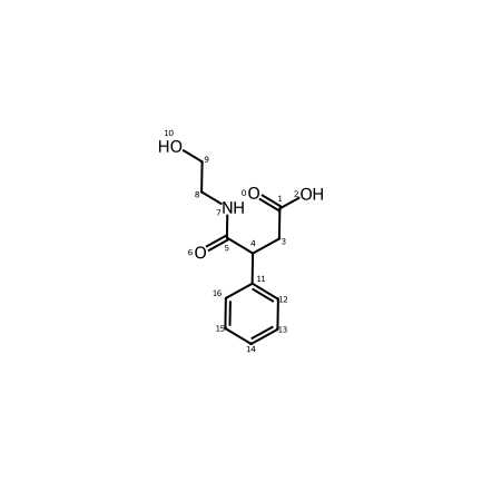 O=C(O)CC(C(=O)NCCO)c1ccccc1